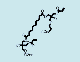 C=CC(=O)OCC(CC)(COCCCCCCCCCC)COC(=O)CCCCCCCCC(=O)OCC(CC)(COCCCCCCCCCCCC)COC(=O)C=C